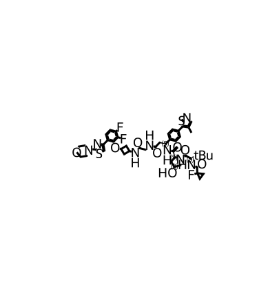 Cc1cnsc1-c1ccc([C@H](CC(=O)NCC(=O)NC2CC(Oc3c(-c4csc(N5CCOCC5)n4)ccc(F)c3F)C2)NC(=O)[C@@H]2C[C@@H](O)CN2C(=O)[C@@H](NC(=O)C2(F)CC2)C(C)(C)C)cc1